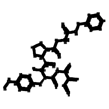 C=C(C=O)C(=C)OC(=O)[C@H](Cc1ccc(OC)cc1)N(C)C(=O)[C@@H]1CCCN1C(=O)CNC(=O)OCc1ccccc1